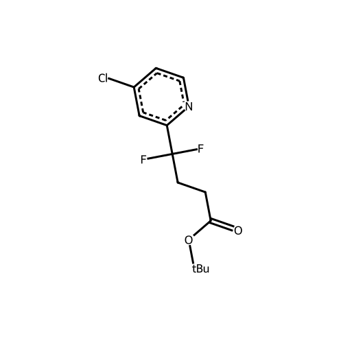 CC(C)(C)OC(=O)CCC(F)(F)c1cc(Cl)ccn1